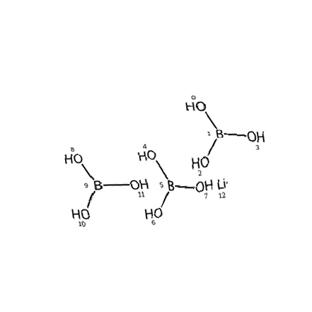 OB(O)O.OB(O)O.OB(O)O.[Li]